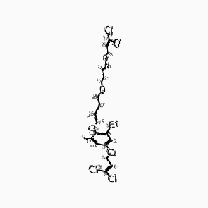 CCc1cc(OCC=C(Cl)Cl)cc(C)c1OCCCCOCC/C=N/OCC=C(Cl)Cl